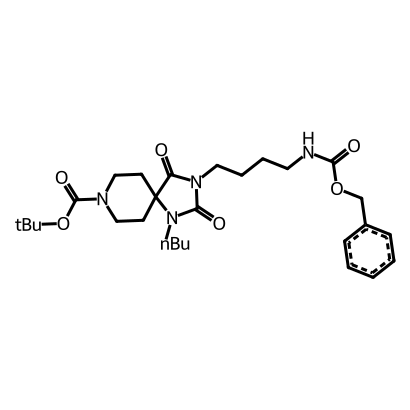 CCCCN1C(=O)N(CCCCNC(=O)OCc2ccccc2)C(=O)C12CCN(C(=O)OC(C)(C)C)CC2